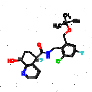 CC(C)(C)[Si](C)(C)OCc1cc(F)cc(Cl)c1CNC(=O)[C@]1(F)CC[C@H](O)c2ncccc21